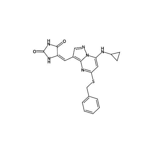 O=C1NC(=O)/C(=C\c2cnn3c(NC4CC4)cc(SCc4ccccc4)nc23)N1